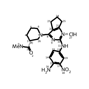 CNC(=O)[C@@H]1CCCN(c2nc(Nc3ccc(N)c([N+](=O)[O-])c3)nc3c2CCC3)C1.Cl